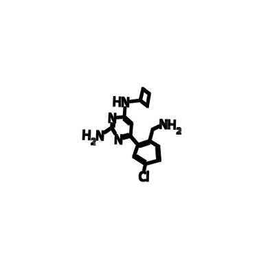 NCc1ccc(Cl)cc1-c1cc(NC2CCC2)nc(N)n1